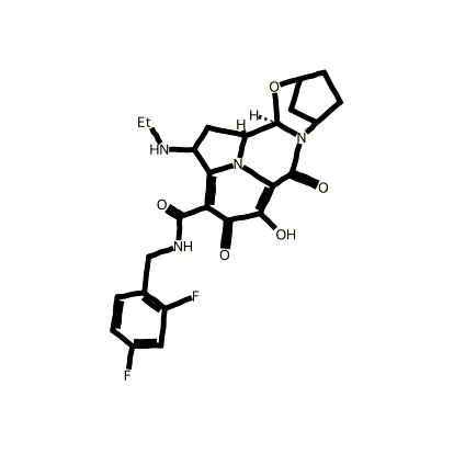 CCNC1C[C@H]2[C@H]3OC4CCC(C4)N3C(=O)c3c(O)c(=O)c(C(=O)NCc4ccc(F)cc4F)c1n32